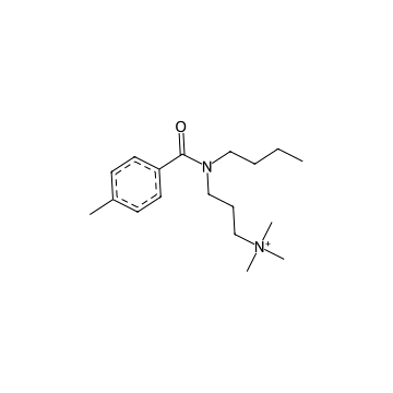 CCCCN(CCC[N+](C)(C)C)C(=O)c1ccc(C)cc1